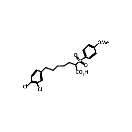 COc1ccc(S(=O)(=O)C(CCCCCc2ccc(Cl)c(Cl)c2)C(=O)O)cc1